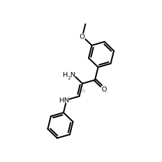 COc1cccc(C(=O)/C(N)=C/Nc2ccccc2)c1